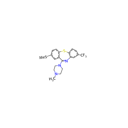 CSc1ccc2c(c1)C(N1CCN(C)CC1)=Nc1cc(C(F)(F)F)ccc1S2